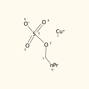 [CH2]CCCOS(=O)(=O)[O-].[Cu+]